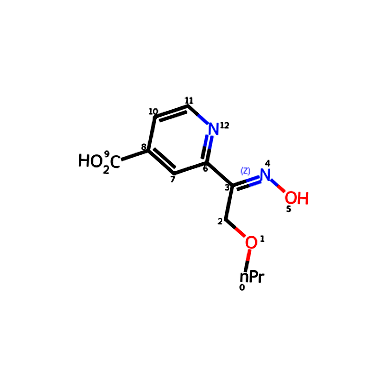 CCCOC/C(=N\O)c1cc(C(=O)O)ccn1